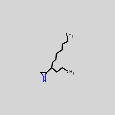 CCCCCCCC(CCC)C1CN1